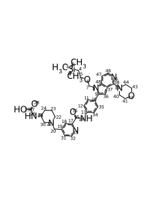 C[Si](C)(C)CCOCn1c(-c2ccc(NC(=O)c3cc(CN4CCC[C@@H](NC(=O)O)C4)ccn3)cc2)cc2c(N3CCOCC3)nccc21